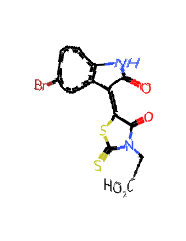 O=C(O)CN1C(=O)C(=C2C(=O)Nc3ccc(Br)cc32)SC1=S